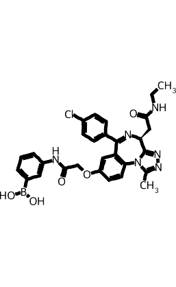 CCNC(=O)C[C@@H]1N=C(c2ccc(Cl)cc2)c2cc(OCC(=O)Nc3cccc(B(O)O)c3)ccc2-n2c(C)nnc21